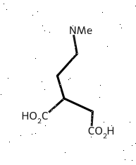 CNCCC(CC(=O)O)C(=O)O